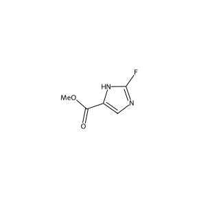 COC(=O)c1cnc(F)[nH]1